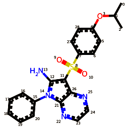 CC(C)Oc1ccc(S(=O)(=O)c2c(N)n(-c3ccccc3)c3nccnc23)cc1